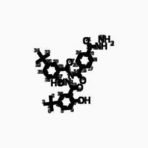 CC(C)(C)c1ccc(O)c(C(=O)NN(C(=O)c2ccc(C(=O)NN)cc2)C(=O)c2cc(C(C)(C)C)ccc2O)c1